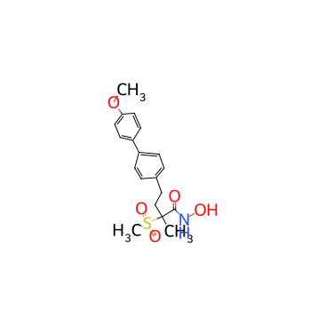 COc1ccc(-c2ccc(CCC(C)(C(=O)NO)S(C)(=O)=O)cc2)cc1